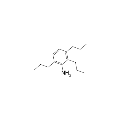 CCCc1ccc(CCC)c(CCC)c1N